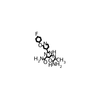 C[C@H](Nc1cc(C(N)=O)nc(-c2ccnc(Oc3ccc(F)cc3)c2)n1)C(N)O